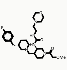 COCC(=O)N1CC[C@@H](CN2CCC[C@@H](Cc3ccc(F)cc3)C2)[C@@H](NC(=O)NCCN2CCOCC2)C1